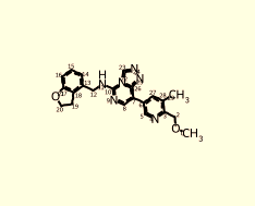 COCc1ncc(-c2cnc(NCc3cccc4c3CCO4)n3cnnc23)cc1C